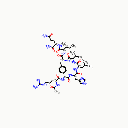 CC[C@@H](C)[C@@H](NC(=O)[C@@H](Cc1ccccc1)NC(=O)[C@H](NC(=O)[C@@H](CC(C)C)NC(=O)[C@@H](Cc1c[nH]cn1)NC(=O)CNC(=O)[C@@H](CCCNC(=N)N)NC(C)=O)C(C)C)C(=O)N[C@H](CCC(N)=O)C(N)=O